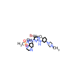 COc1ccc(N2CCN(C)CC2)cc1Nc1ncc(Br)c(Nc2ccc3nccnc3c2N(C)S(C)(=O)=O)n1